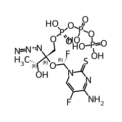 C[C@@H](O)[C@](COP(=O)(O)OP(=O)(O)OP(=O)(O)O)(N=[N+]=[N-])O[C@H](F)n1cc(F)c(N)nc1=S